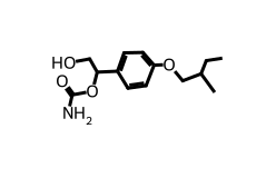 CCC(C)COc1ccc(C(CO)OC(N)=O)cc1